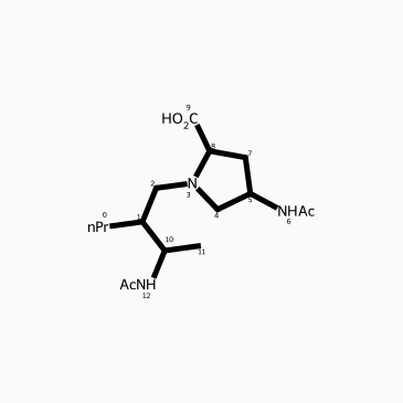 CCCC(CN1CC(NC(C)=O)CC1C(=O)O)C(C)NC(C)=O